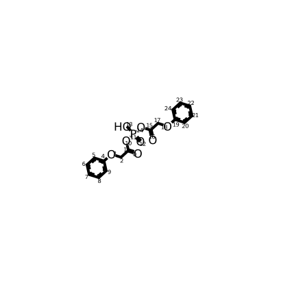 O=C(COc1ccccc1)OP(=O)(O)OC(=O)COc1ccccc1